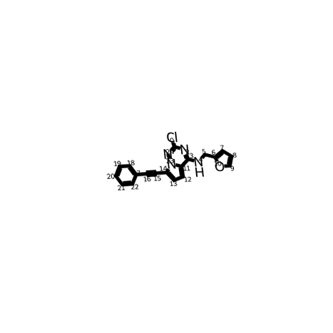 Clc1nc(NCc2ccco2)c2ccc(C#Cc3ccccc3)n2n1